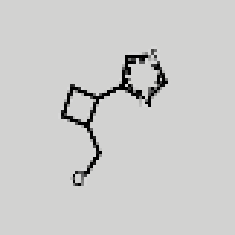 ClCC1CCC1c1cscn1